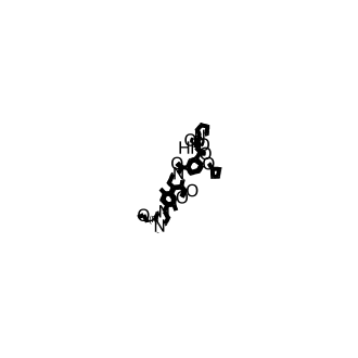 COC[C@H]1CN(c2cc(C)c3c4c(c(=O)oc3c2C)CN(C(=O)c2ccc(OC3CCC3)c(C(=O)NS(=O)(=O)N3CCCC3)c2)CC4)CCN1C